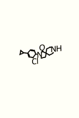 O=C1N(C2C=CC(C3CC3)=CC2Cl)CCC12CCNCC2